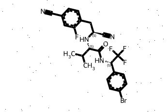 CC(C)[C@H](N[C@H](C#N)Cc1ccc(C#N)cc1F)C(=O)N[C@@H](c1ccc(Br)cc1)C(F)(F)F